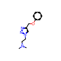 CN(C)CCn1cc(COc2ccccc2)nn1